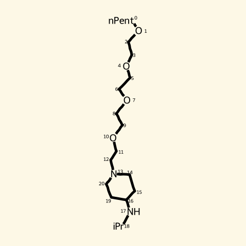 CCCCCOCCOCCOCCOCCN1CCC(NC(C)C)CC1